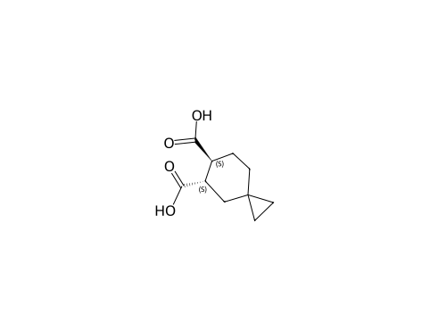 O=C(O)[C@H]1CCC2(CC2)C[C@@H]1C(=O)O